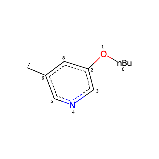 CCCCOc1cncc(C)c1